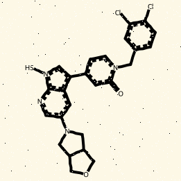 O=c1cc(-c2cn(S)c3ncc(N4CC5COCC5C4)cc23)ccn1Cc1ccc(Cl)c(Cl)c1